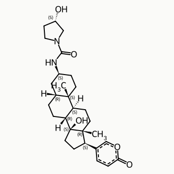 C[C@]12CC[C@H](NC(=O)N3CC[C@H](O)C3)C[C@H]1CC[C@@H]1[C@@H]2CC[C@]2(C)[C@@H](c3ccc(=O)oc3)CC[C@]12O